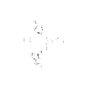 C[C@H]1CN(C2CCN(c3nc(N)n[nH]3)CC2)[C@@H](Cc2ccc(Cl)cc2)CO1.O